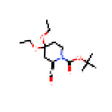 CCOC1(OCC)CCN(C(=O)OC(C)(C)C)C(=C=O)C1